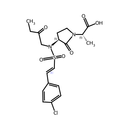 CCC(=O)CN([C@H]1CCN([C@@H](C)C(=O)O)C1=O)S(=O)(=O)/C=C/c1ccc(Cl)cc1